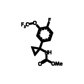 COC(=O)NC1(c2ccc(F)c(OC(F)(F)F)c2)CC1